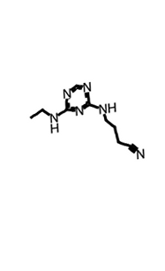 CCNc1ncnc(NCCCC#N)n1